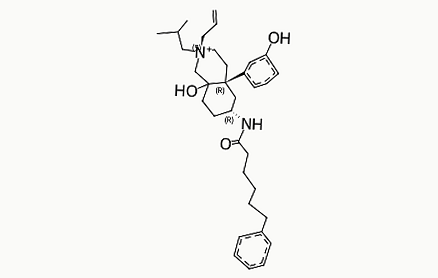 C=CC[N@@+]1(CC(C)C)CC[C@]2(c3cccc(O)c3)C[C@H](NC(=O)CCCCCc3ccccc3)CCC2(O)C1